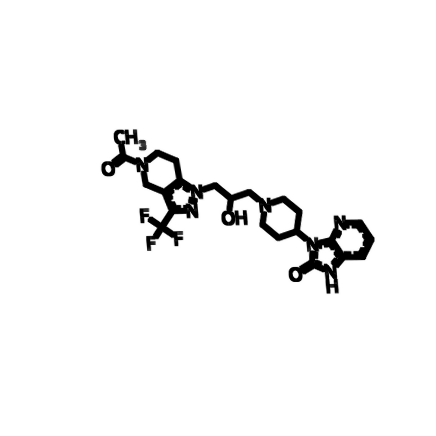 CC(=O)N1CCc2c(c(C(F)(F)F)nn2CC(O)CN2CCC(n3c(=O)[nH]c4cccnc43)CC2)C1